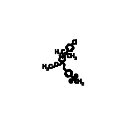 CCOC[C@@]1(CCc2ccc(S(C)(=O)=O)cc2)CCN(C(C)(C)c2ccc(Cl)cc2)C1